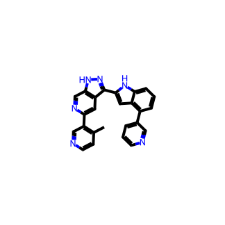 Cc1ccncc1-c1cc2c(-c3cc4c(-c5cccnc5)cccc4[nH]3)n[nH]c2cn1